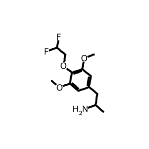 COc1cc(CC(C)N)cc(OC)c1OCC(F)F